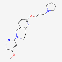 COc1ccnc(N2CCc3nc(OCCCN4CCCC4)ccc3C2)c1